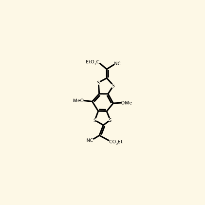 [C-]#[N+]C(C(=O)OCC)=C1Sc2c(OC)c3c(c(OC)c2S1)SC(=C(C#N)C(=O)OCC)S3